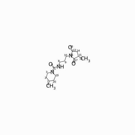 CC1CCN(C(=O)NCCCN2C(=O)CC(C)C2=O)CC1